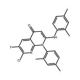 Cc1ccc(Nc2cc(=O)c3cc(F)c(Cl)nc3n2-c2ccc(C)cc2C)c(C)c1